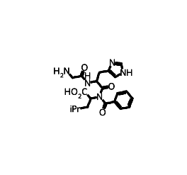 CC(C)CC(C(=O)O)N(C(=O)c1ccccc1)C(=O)C(Cc1c[nH]cn1)NC(=O)CN